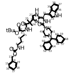 CC(C)(C)OC(=O)[C@@H](CCCCNC(=O)OCc1ccccc1)NC(=O)C(C)(C)c1c[nH]c([C@@H](Cc2c[nH]c3ccccc23)NC(=O)N2CCN(C(c3ccccc3)c3ccccc3)CC2)n1